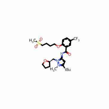 Cn1c(C(C)(C)C)c/c(=N\C(=O)c2cc(C(F)(F)F)ccc2OCCCCS(C)(=O)=O)n1C[C@H]1CCCO1